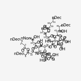 CCCCCCCCCCCCCC(=O)O[C@H](CCCCCCCCCCC)CC(=O)NC1C(OC(=O)C[C@H](O)CCCCCCCCC)[C@H](O)C(CO[C@@H]2OC(CO)[C@@H](OP(=O)(O)O)C(OC(=O)C[C@H](O)CCCCCCCCCCC)C2NC(=O)C[C@@H](CCCCCCCCCCC)OC(=O)CCCCCCCCCCCCC)O[C@@H]1OP(=O)(O)OP(=O)(O)O